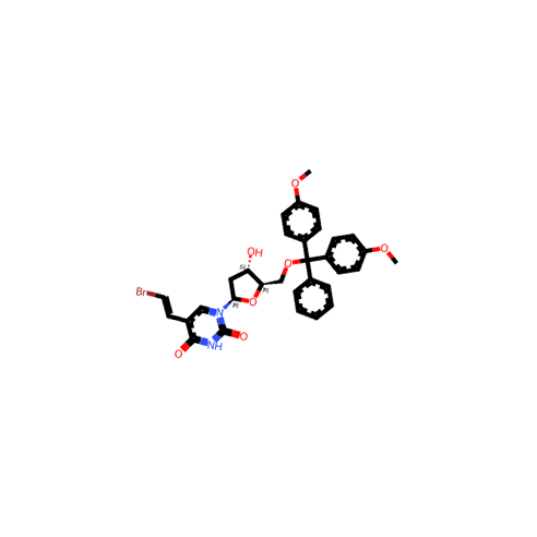 COc1ccc(C(OC[C@H]2O[C@@H](n3cc(C=CBr)c(=O)[nH]c3=O)C[C@@H]2O)(c2ccccc2)c2ccc(OC)cc2)cc1